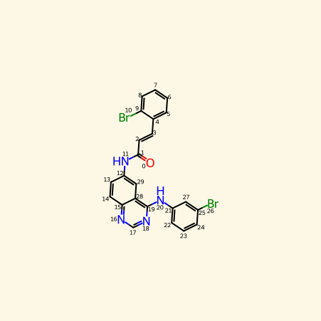 O=C(C=Cc1ccccc1Br)Nc1ccc2ncnc(Nc3cccc(Br)c3)c2c1